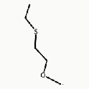 [CH2]OCCSCC